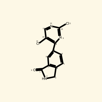 O=C1NCc2ccc(-c3nc(Cl)ncc3Cl)cc21